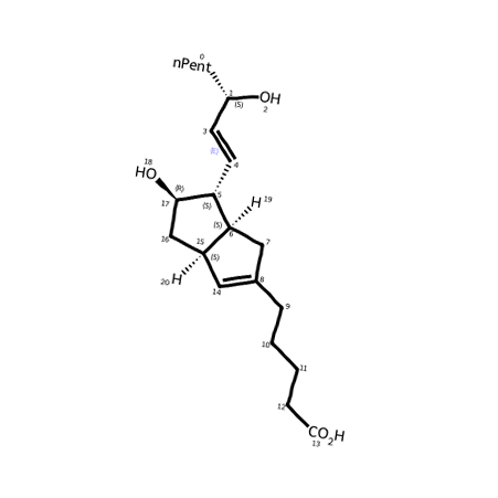 CCCCC[C@H](O)/C=C/[C@@H]1[C@H]2CC(CCCCC(=O)O)=C[C@H]2C[C@H]1O